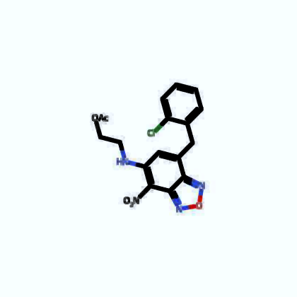 CC(=O)OCCNc1cc(Cc2ccccc2Cl)c2nonc2c1[N+](=O)[O-]